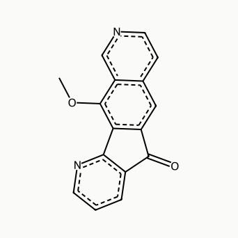 COc1c2c(cc3ccncc13)C(=O)c1cccnc1-2